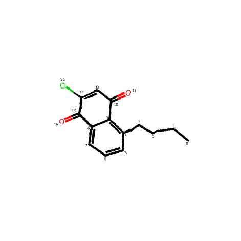 CCCCc1cccc2c1C(=O)C=C(Cl)C2=O